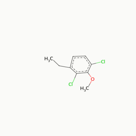 CCc1ccc(Cl)c(OC)c1Cl